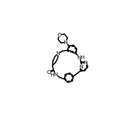 O=C1NCc2ccc(cc2)-c2ccnc(n2)Nc2ccc(N3CCOCC3)c(c2)CN2CCC1CC2